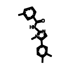 Cc1cccc(C(=O)Nc2ncc(-c3ccc(C)c(C)c3)n2C)c1